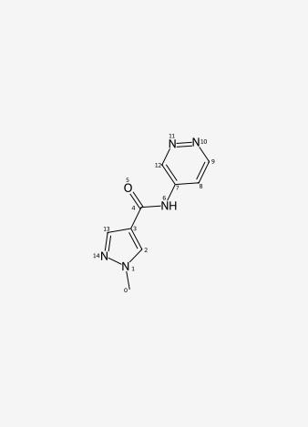 Cn1cc(C(=O)Nc2ccnnc2)cn1